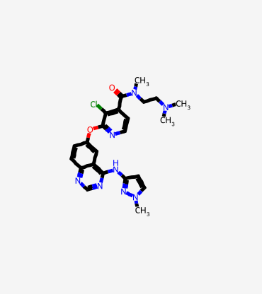 CN(C)CCN(C)C(=O)c1ccnc(Oc2ccc3ncnc(Nc4ccn(C)n4)c3c2)c1Cl